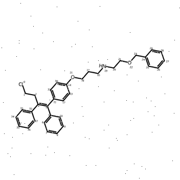 ClCCC(=C(c1ccccc1)c1ccc(OCCCNCCOCc2ccccc2)cc1)c1ccccc1